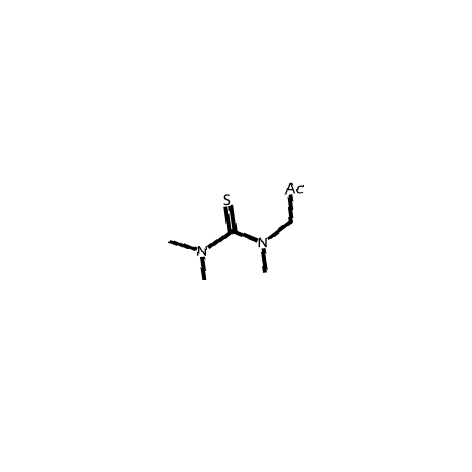 CC(=O)CN(C)C(=S)N(C)C